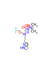 C[C@@H]1C[C@@H](C)N1C(=O)N[C@@H](CCN(CCCCc1ccc2c(n1)NCCC2)CCOCC(F)F)C(=O)O